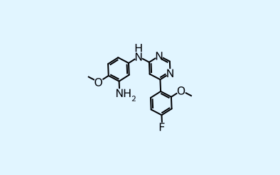 COc1ccc(Nc2cc(-c3ccc(F)cc3OC)ncn2)cc1N